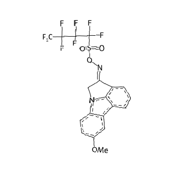 COc1ccc2c(c1)c1cccc3c1n2C/C3=N\OS(=O)(=O)C(F)(F)C(F)(F)C(F)(F)C(F)(F)F